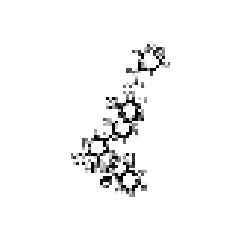 COc1ncc(-c2ccc3ncc(OCCN4CCOCC4)c(=O)n3c2)cc1NS(=O)(=O)c1ccccc1Cl